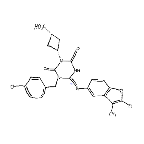 CCc1oc2ccc(/N=c3\[nH]c(=O)n([C@H]4C[C@@H](C(=O)O)C4)c(=O)n3Cc3ccc(Cl)cc3)cc2c1C